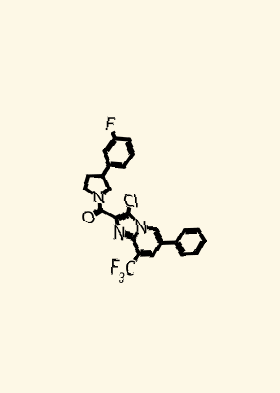 O=C(c1nc2c(C(F)(F)F)cc(-c3ccccc3)cn2c1Cl)N1CCC(c2cccc(F)c2)C1